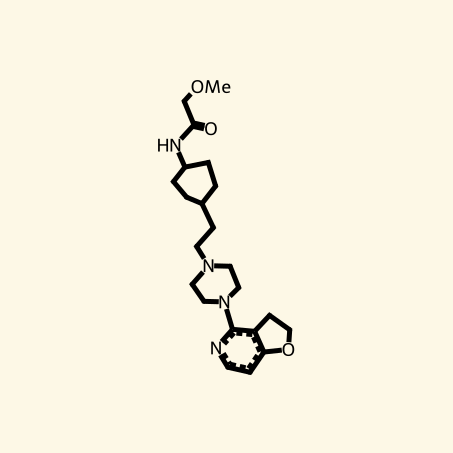 COCC(=O)NC1CCC(CCN2CCN(c3nccc4c3CCO4)CC2)CC1